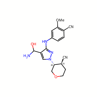 COc1cc(Nc2nn([C@H]3COCC[C@@H]3C#N)cc2C(N)O)ccc1C#N